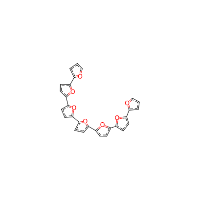 c1coc(-c2ccc(-c3ccc(-c4ccc(-c5ccc(-c6ccc(-c7ccco7)o6)o5)o4)o3)o2)c1